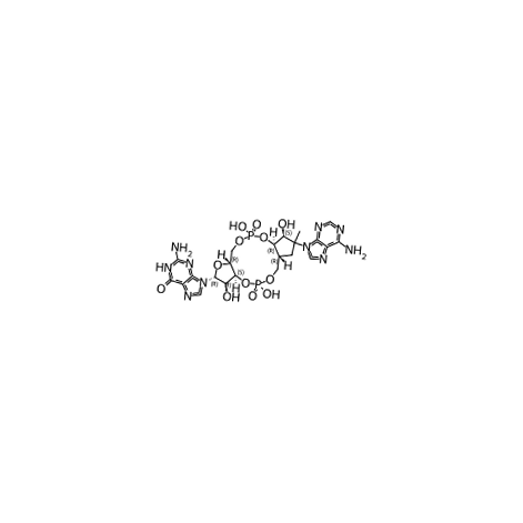 CC1(n2cnc3c(N)ncnc32)C[C@@H]2COP(=O)(O)O[C@H]3[C@@H](O)[C@H](n4cnc5c(=O)[nH]c(N)nc54)O[C@@H]3COP(=O)(O)O[C@H]2[C@H]1O